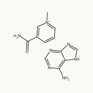 C[n+]1cccc(C(N)=O)c1.Nc1ncnc2nc[nH]c12